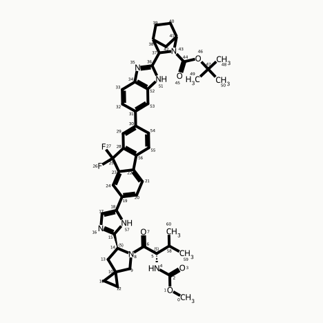 COC(=O)N[C@H](C(=O)N1CC2(CC2)C[C@H]1c1ncc(-c2ccc3c(c2)C(F)(F)c2cc(-c4ccc5nc(C6C7CCC(C7)N6C(=O)OC(C)(C)C)[nH]c5c4)ccc2-3)[nH]1)C(C)C